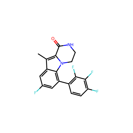 Cc1c2n(c3c(-c4ccc(F)c(F)c4F)cc(F)cc13)CCNC2=O